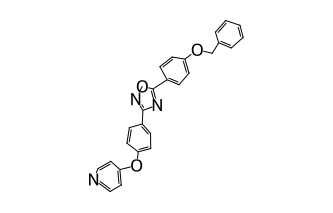 c1ccc(COc2ccc(-c3nc(-c4ccc(Oc5ccncc5)cc4)no3)cc2)cc1